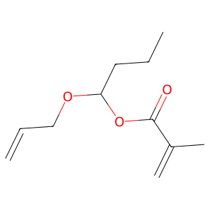 C=CCOC(CCC)OC(=O)C(=C)C